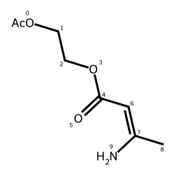 CC(=O)OCCOC(=O)/C=C(/C)N